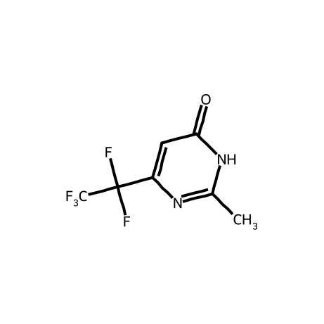 Cc1nc(C(F)(F)C(F)(F)F)cc(=O)[nH]1